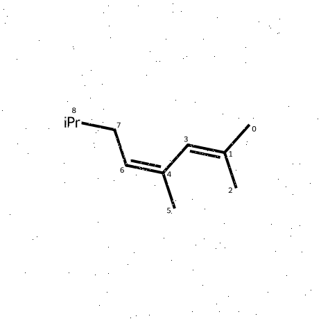 CC(C)=CC(C)=CCC(C)C